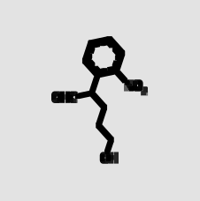 O=CC(CCCO)c1ccccc1[N+](=O)[O-]